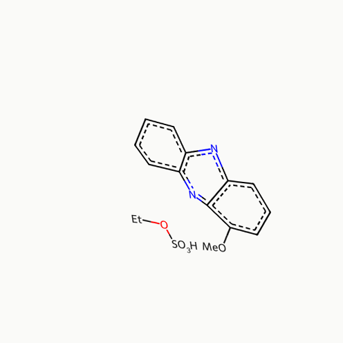 CCOS(=O)(=O)O.COc1cccc2nc3ccccc3nc12